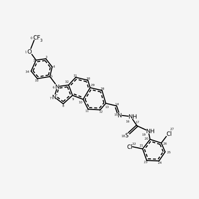 FC(F)(F)Oc1ccc(-n2ncc3c4ccc(C=NNC(=S)Nc5c(Cl)cccc5Cl)cc4ccc32)cc1